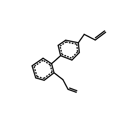 C=CCc1ccc(-c2ccccc2CC=C)cc1